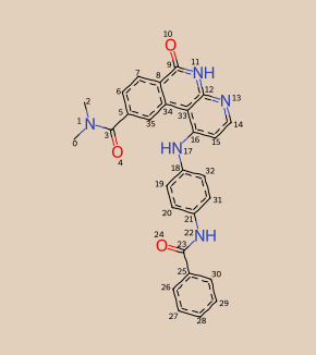 CN(C)C(=O)c1ccc2c(=O)[nH]c3nccc(Nc4ccc(NC(=O)c5ccccc5)cc4)c3c2c1